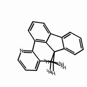 [2H]C([2H])([2H])C12c3ccccc3-c3cccc(c31)-c1ncccc1C2([2H])[2H]